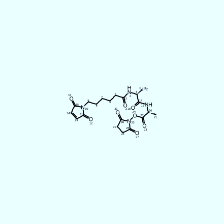 CC(C)[C@H](NC(=O)CCCCCN1C(=O)C=CC1=O)C(=O)N[C@@H](C)C(=O)ON1C(=O)CCC1=O